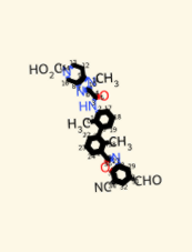 Cc1c(NC(=O)c2nc3c(n2C)CCN(C(=O)O)C3)cccc1-c1cccc(-c2nc3cc(C=O)cc(C#N)c3o2)c1C